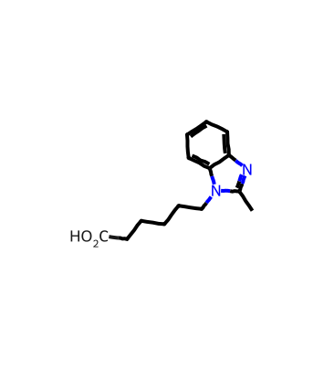 Cc1nc2ccccc2n1CCCCCC(=O)O